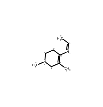 C/C=N\C1=C(C)CN(C)CC1